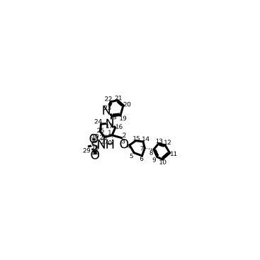 C[C@@]1(CO[C@H]2CC[C@@H](c3ccccc3)CC2)CN(c2ccccn2)CC[C@@H]1NS(C)(=O)=O